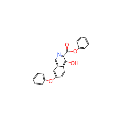 O=C(Oc1ccccc1)c1ncc2cc(Oc3ccccc3)ccc2c1O